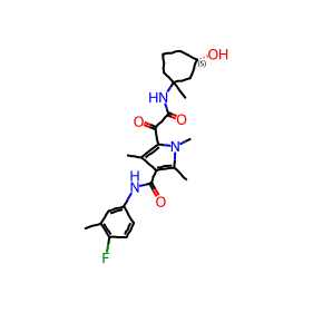 Cc1cc(NC(=O)c2c(C)c(C(=O)C(=O)NC3(C)CCC[C@H](O)C3)n(C)c2C)ccc1F